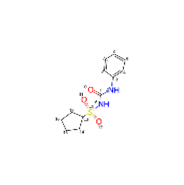 O=C(Nc1ccccc1)NS(=O)(=O)C1CCCC1